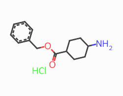 Cl.NC1CCC(C(=O)OCc2ccccc2)CC1